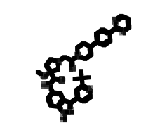 CO[C@@]1(C(=O)Nc2ccc3[nH]nc(-c4ccnc(C(C)(C)C)c4)c3c2)CCN(CC(=O)N2CC=C(c3ccc(-c4ncccn4)cc3)CC2)C1